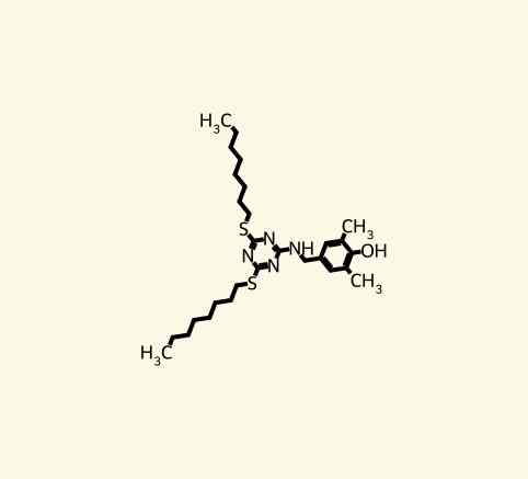 CCCCCCCCSc1nc(NCc2cc(C)c(O)c(C)c2)nc(SCCCCCCCC)n1